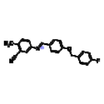 Cc1ccc(/N=C/c2ccc(OCc3ccc(F)cc3)cc2)cc1C#N